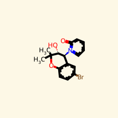 CC1(C)Oc2ccc(Br)cc2[C@H](n2ccccc2=O)[C@H]1O